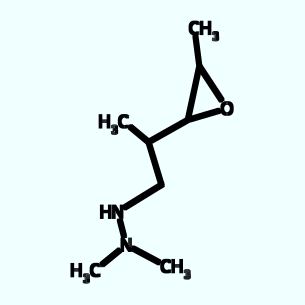 CC(CNN(C)C)C1OC1C